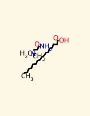 CCCCCCCCCCCCCCCCCC(=O)O.CN(C)CCC(N)=O